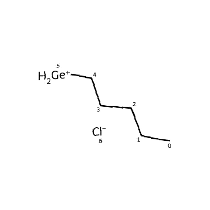 CCCC[CH2][GeH2+].[Cl-]